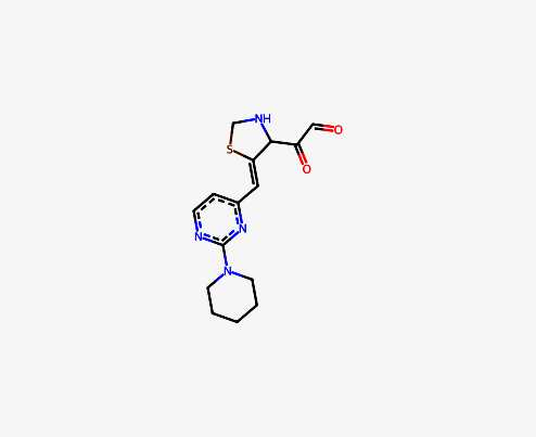 O=CC(=O)C1NCS/C1=C\c1ccnc(N2CCCCC2)n1